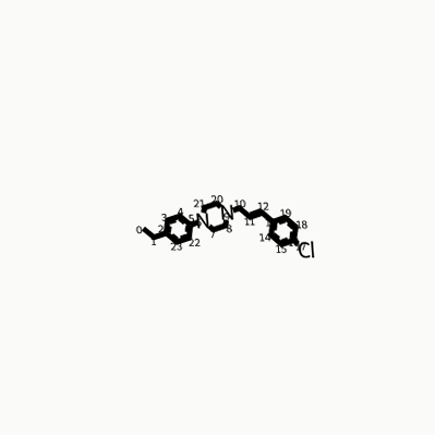 CCc1ccc(N2CCN(C/C=C/c3ccc(Cl)cc3)CC2)cc1